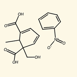 CC1C(C(=O)O)=CC=CC1(CO)C(=O)O.O=[N+]([O-])c1ccccc1